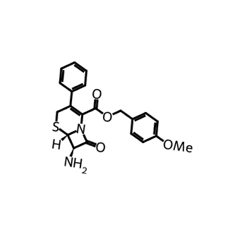 COc1ccc(COC(=O)C2=C(c3ccccc3)CS[C@H]3[C@H](N)C(=O)N23)cc1